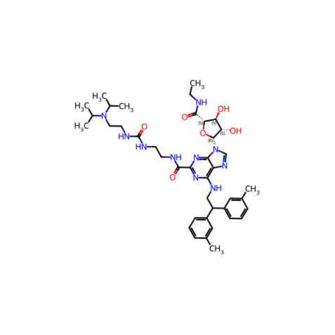 CCNC(=O)[C@H]1O[C@@H](n2cnc3c(NCC(c4cccc(C)c4)c4cccc(C)c4)nc(C(=O)NCCNC(=O)NCCN(C(C)C)C(C)C)nc32)[C@@H](O)[C@@H]1O